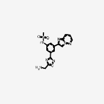 CS(=O)(=O)Nc1cc(-c2cn3ncccc3n2)cc(-c2noc(CN)n2)c1